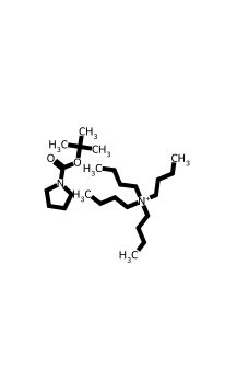 CC(C)(C)OC(=O)N1CCCC1.CCCC[N+](CCCC)(CCCC)CCCC